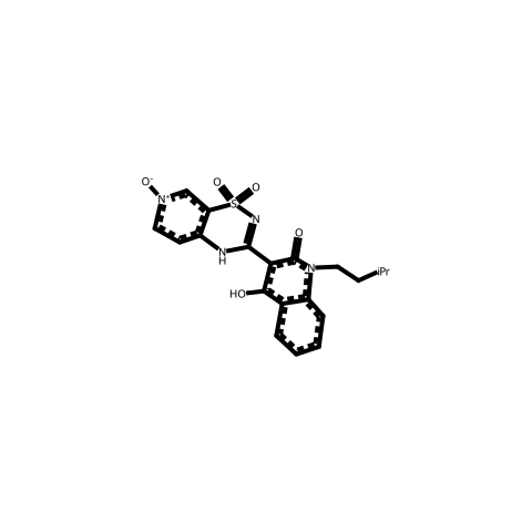 CC(C)CCn1c(=O)c(C2=NS(=O)(=O)c3c[n+]([O-])ccc3N2)c(O)c2ccccc21